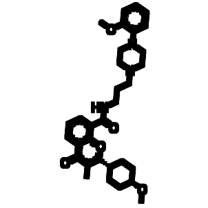 COc1ccccc1N1CCN(CCCNC(=O)c2cccc3c(=O)c(C)c([C@H]4CC[C@H](OC)CC4)oc23)CC1